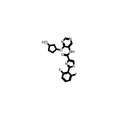 O=C(Nc1cncnc1OC1CCC(O)C1)c1csc(-c2c(F)cccc2F)n1